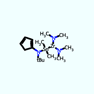 C[N](C)[Zr]([N](C)C)[Sn]([CH3])([CH3])[N](C1=CC=CC1)C(C)(C)C